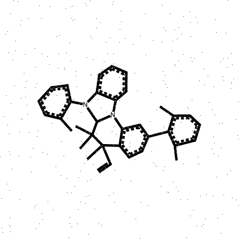 C=CC1(C)c2ccc(-c3c(C)cccc3C)cc2N2c3ccccc3N(c3ccccc3C)C2C1(C)C